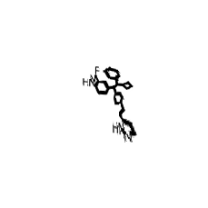 Fc1n[nH]c2ccc(C(=C(c3ccccc3)C3CCC3)c3ccc(C=Cc4ccn[nH]4)cc3)cc12